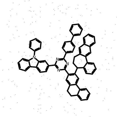 c1ccc(-c2ccc(-c3nc(-c4ccc5c6ccccc6n(-c6ccccc6)c5c4)nc(-c4cc5c(cc4C4CCc6cc7ccccc7cc6-c6ccccc64)-c4ccccc4CC5)n3)cc2)cc1